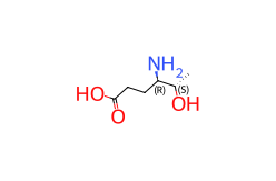 C[C@H](O)[C@H](N)CCC(=O)O